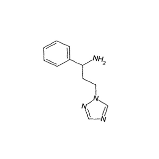 NC(CCn1cncn1)c1ccccc1